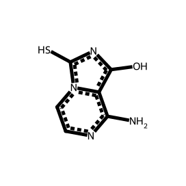 Nc1nccn2c(S)nc(O)c12